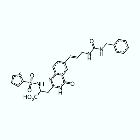 O=C(NCC=Cc1ccc2nc(C[C@H](NS(=O)(=O)c3cccs3)C(=O)O)[nH]c(=O)c2c1)NCc1ccccc1